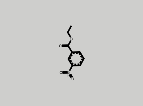 CCOC(=O)c1cccc([SH](=O)=O)c1